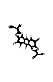 N#CC(C#N)=c1nc2c(F)c(F)c3c(F)c4c(c(F)c(F)c5nc(=C(C#N)C#N)oc54)c(F)c3c2o1